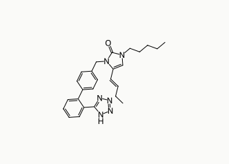 CCC=Cc1cn(CCCCC)c(=O)n1Cc1ccc(-c2ccccc2-c2nnn[nH]2)cc1